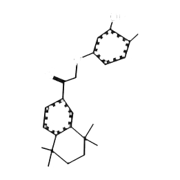 Cc1ccc(OCC(=O)c2ccc3c(c2)C(C)(C)CCC3(C)C)cc1O